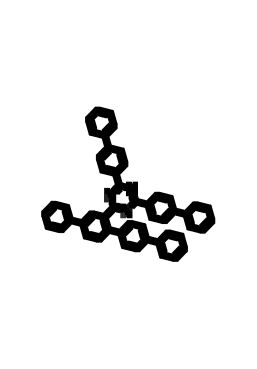 c1ccc(-c2ccc(-c3nc(-c4ccc(-c5ccccc5)cc4)nc(-c4cc(-c5ccccc5)ccc4-c4ccc(-c5ccccc5)cc4)n3)cc2)cc1